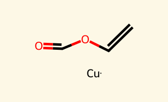 C=COC=O.[Cu]